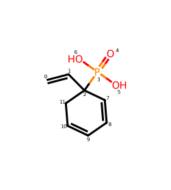 C=CC1(P(=O)(O)O)C=CC=CC1